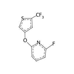 Fc1cccc(Oc2csc(C(F)(F)F)c2)n1